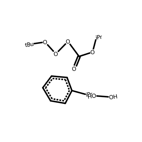 CC(C)OC(=O)OOOC(C)(C)C.CC(C)c1ccccc1.OO